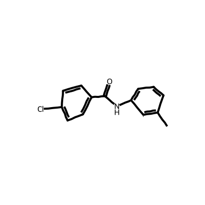 Cc1[c]c(NC(=O)c2ccc(Cl)cc2)ccc1